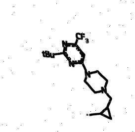 [CH2]C1CC1CN1CCN(c2cc(C(F)(F)F)nc(C(C)(C)C)n2)CC1